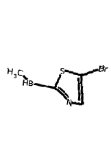 CBc1ncc(Br)s1